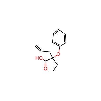 C=CCC(CC)(Oc1ccccc1)C(=O)O